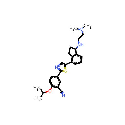 CC(C)Oc1ccc(-c2ncc(-c3cccc4c3CCC4NCCN(C)C)s2)cc1C#N